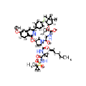 CCCC/C=C\[C@@H]1C[C@]1(NC(=O)[C@@H]1C[C@@H](Oc2nc(-c3ccc(F)cc3)cc3cc(OC)ccc23)CN1C(=O)[C@H](CC)NC(=O)O[C@@H]1C[C@@H]2C[C@@H]2C1)C(=O)NS(=O)(=O)C1(C)CC1